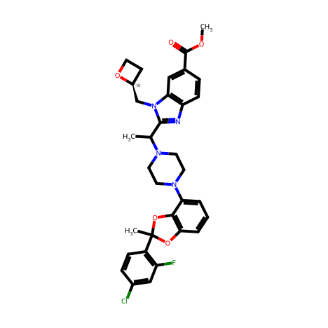 COC(=O)c1ccc2nc(C(C)N3CCN(c4cccc5c4OC(C)(c4ccc(Cl)cc4F)O5)CC3)n(C[C@@H]3CCO3)c2c1